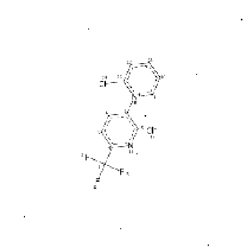 FC(F)(F)c1ccc(-[n+]2ccccc2Cl)cn1.[Cl-]